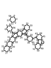 c1ccc(-c2cccc(-n3c4cc5cc6ccccc6cc5cc4c4cc5c(cc43)c3ccccc3n5-c3cccc(-c4cccc5oc6ccccc6c45)c3)c2)cc1